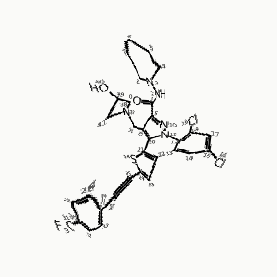 O=C(NN1CCCCC1)c1nn(-c2ccc(Cl)cc2Cl)c(-c2ccc(C#Cc3ccc(C(F)(F)F)cc3)s2)c1CN1CC(O)C1